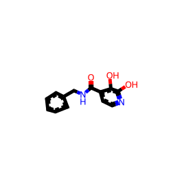 O=C(NCc1ccccc1)c1ccnc(O)c1O